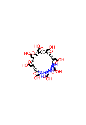 O=C(O)CC1CCCC(CC(=O)O)CNN(CC(=O)O)NNN(CC(=O)O)NNN(CC(=O)O)CCCC(CC(=O)O)CCC(CC(=O)O)CCC(CC(=O)O)CC1